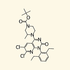 CCc1cccc(CC)c1-n1c(=O)nc(N2CCN(C(=O)OC(C)(C)C)CC2C)c2cc(Cl)c(Cl)nc21